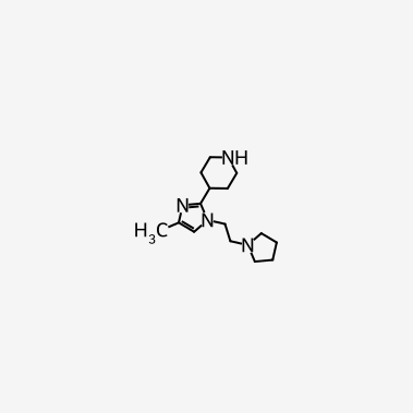 Cc1cn(CCN2CCCC2)c(C2CCNCC2)n1